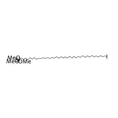 CO[Si](CCCCCCCCCCCCCCCCCCCCCCCCCCCCCCCCCCCCCCCI)(OC)OC